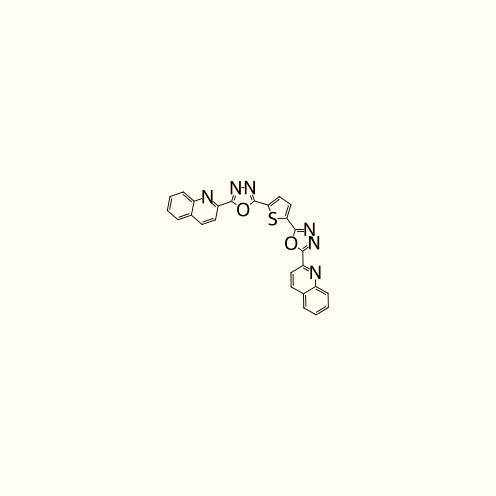 c1ccc2nc(-c3nnc(-c4ccc(-c5nnc(-c6ccc7ccccc7n6)o5)s4)o3)ccc2c1